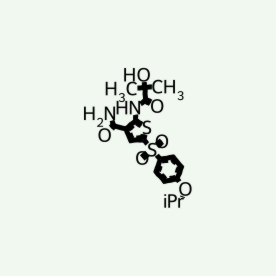 CC(C)Oc1ccc(S(=O)(=O)c2cc(C(N)=O)c(NC(=O)C(C)(C)O)s2)cc1